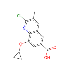 Cc1cc2cc(C(=O)O)cc(OC3CC3)c2nc1Cl